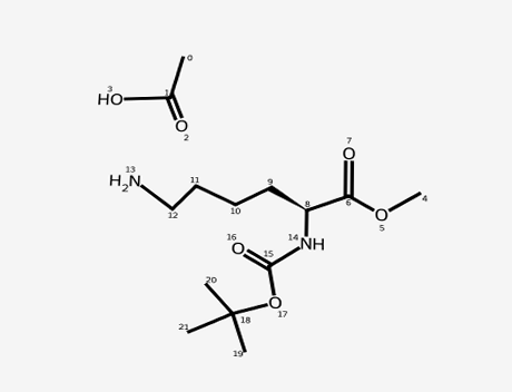 CC(=O)O.COC(=O)[C@H](CCCCN)NC(=O)OC(C)(C)C